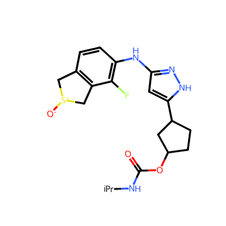 CC(C)NC(=O)OC1CCC(c2cc(Nc3ccc4c(c3F)C[S+]([O-])C4)n[nH]2)C1